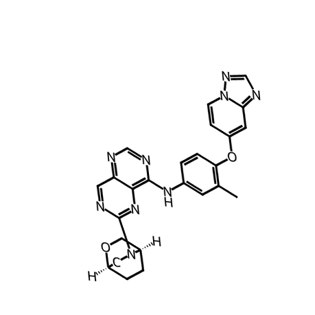 Cc1cc(Nc2ncnc3cnc(N4C[C@H]5CC[C@@H]4CO5)nc23)ccc1Oc1ccn2ncnc2c1